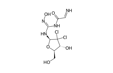 N=CC(=O)N/C(=N\O)N[C@@H]1O[C@H](CO)[C@@H](O)C1(Cl)Cl